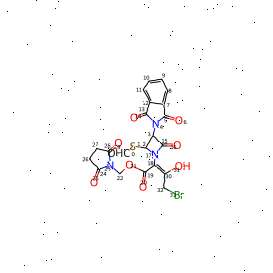 O=CSC1C(N2C(=O)c3ccccc3C2=O)C(=O)N1C(C(=O)OCN1C(=O)CCC1=O)=C(O)CBr